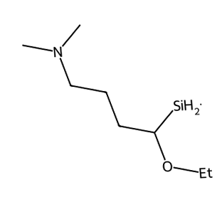 CCOC([SiH2])CCCN(C)C